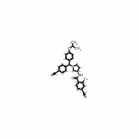 CC(C)Oc1ccc(C(c2ccc(C#N)cc2)N2CC[C@@H](NC(=O)c3ccc(C#N)cc3F)C2)cc1